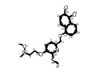 CON(C)CCOc1ccc(COc2cccc3c(Cl)c(Cl)ccc23)nc1SC